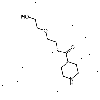 O=C(SCCOCCO)C1CCNCC1